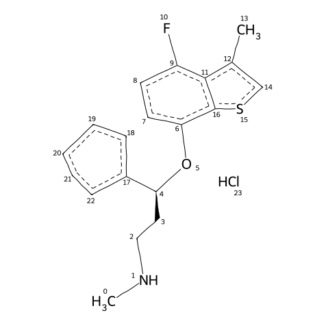 CNCC[C@H](Oc1ccc(F)c2c(C)csc12)c1ccccc1.Cl